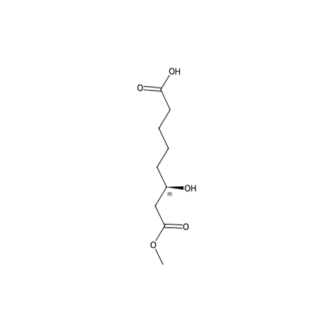 COC(=O)C[C@H](O)CCCCC(=O)O